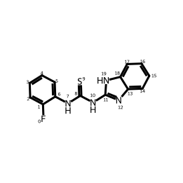 Fc1ccccc1NC(=S)Nc1nc2ccccc2[nH]1